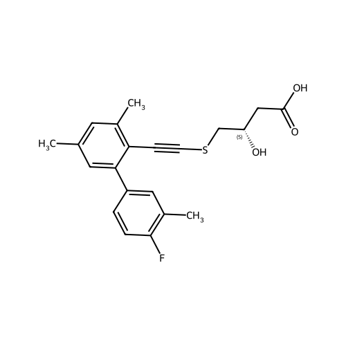 Cc1cc(C)c(C#CSC[C@@H](O)CC(=O)O)c(-c2ccc(F)c(C)c2)c1